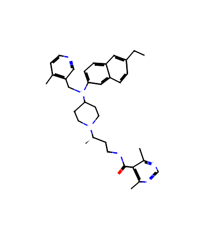 CCc1ccc2cc(N(Cc3cnccc3C)C3CCN([C@H](C)CCNC(=O)c4c(C)ncnc4C)CC3)ccc2c1